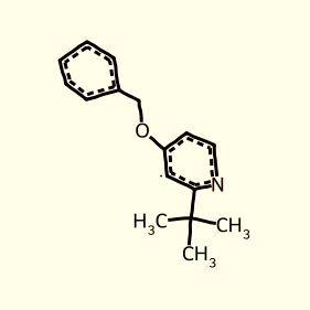 CC(C)(C)c1[c]c(OCc2ccccc2)ccn1